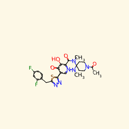 CC(=O)N1CCC2(CC1)N(C)C(=O)c1c(O)c(=O)c(-c3nnc(Cc4ccc(F)cc4F)s3)cn1N2C